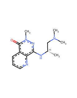 C[C@@H](CN(C)C)Nc1nn(C)c(=O)c2cccnc12